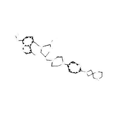 CNc1ccc(N2C[C@H](CN3CCN(c4ccc(N5CC6(CNCCO6)C5)nc4)CC3)O[C@H](C)C2)c2c(F)cnn12